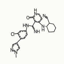 Cn1cc(-c2ccc(NC(=N)c3c(N[C@H]4CCCCC4C#N)cc[nH]c3=O)cc2Cl)cn1